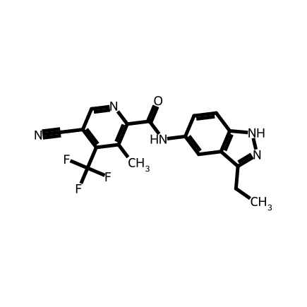 CCc1n[nH]c2ccc(NC(=O)c3ncc(C#N)c(C(F)(F)F)c3C)cc12